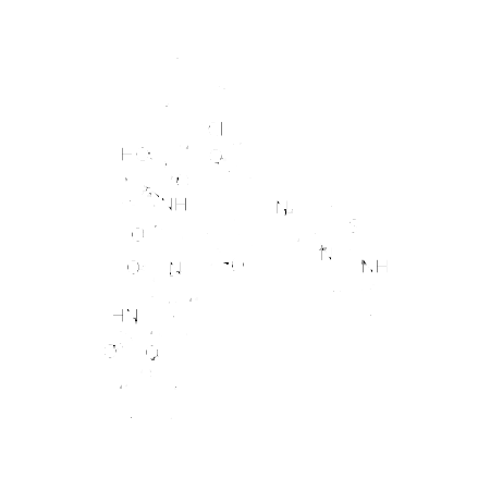 C=C[C@@H]1C[C@]1(NC(=O)[C@@H]1C[C@@H](Oc2cc(-c3csc(NC(C)C)n3)nc3cc(OC)ccc23)CN1C(=O)[C@@H](NC(=O)OC1CCCC1)C(C)(C)C)P(=O)(O)CCc1ccccc1Cl